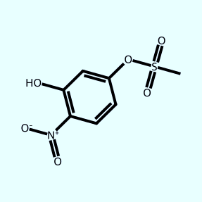 CS(=O)(=O)Oc1ccc([N+](=O)[O-])c(O)c1